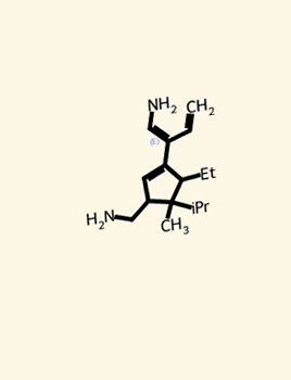 C=C/C(=C\N)C1=CC(CN)C(C)(C(C)C)C1CC